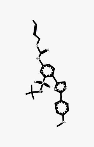 C/C=C/COC(=O)Nc1ccc(-c2cnc(-c3ccc(NC)cc3)s2)c(S(=O)(=O)NC(C)(C)C)c1